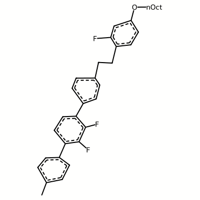 CCCCCCCCOc1ccc(CCc2ccc(-c3ccc(-c4ccc(C)cc4)c(F)c3F)cc2)c(F)c1